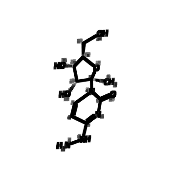 C[C@@]1(n2ccc(NN)nc2=O)O[C@H](CO)[C@@H](O)[C@H]1O